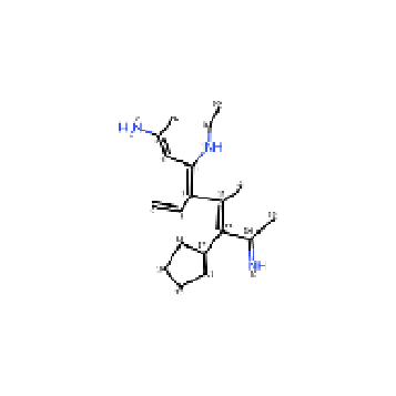 C=CC(=C(\C=C(/C)N)NCC)/C(C)=C(/C(C)=N)C1CCCC1